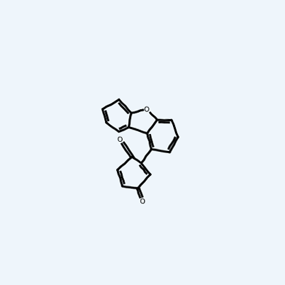 O=C1C=CC(=O)C(c2cccc3oc4ccccc4c23)=C1